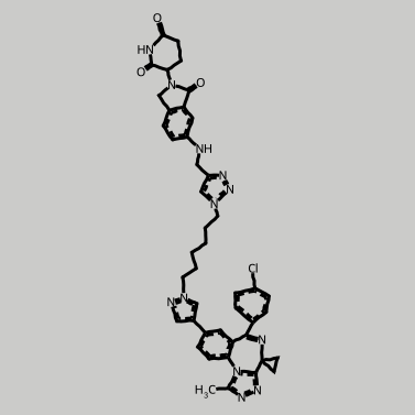 Cc1nnc2n1-c1ccc(-c3cnn(CCCCCCn4cc(CNc5ccc6c(c5)C(=O)N(C5CCC(=O)NC5=O)C6)nn4)c3)cc1C(c1ccc(Cl)cc1)=NC21CC1